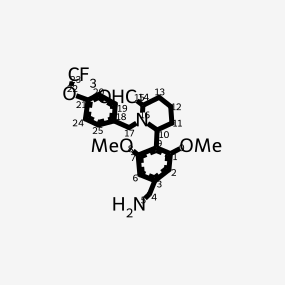 COc1cc(CN)cc(OC)c1C1CCCC(C=O)N1Cc1ccc(OC(F)(F)F)cc1